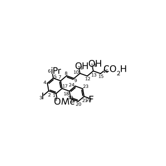 COc1c(I)cc(C(C)C)c(C=CC(O)CC(O)CC(=O)O)c1-c1ccc(F)cc1